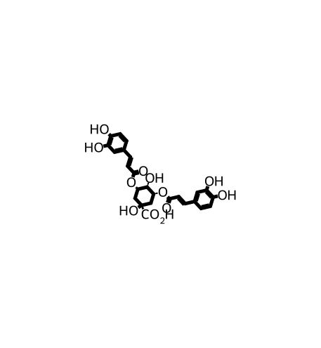 O=C(C=Cc1ccc(O)c(O)c1)O[C@@H]1C[C@](O)(C(=O)O)C[C@@H](OC(=O)C=Cc2ccc(O)c(O)c2)[C@H]1O